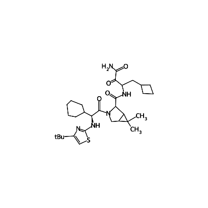 CC(C)(C)c1csc(N[C@H](C(=O)N2CC3C(C2C(=O)NC(CC2CCC2)C(=O)C(N)=O)C3(C)C)C2CCCCC2)n1